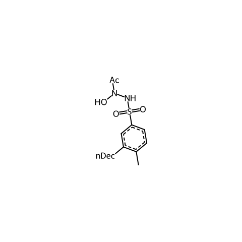 CCCCCCCCCCc1cc(S(=O)(=O)NN(O)C(C)=O)ccc1C